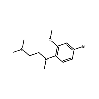 COc1cc(Br)ccc1N(C)CCN(C)C